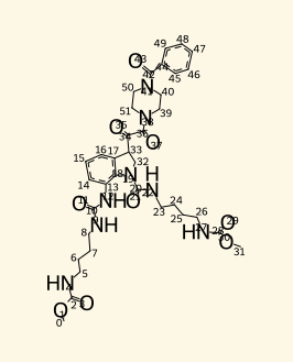 COC(=O)NCCCCNC(=O)Nc1cccc2c1N(C(=O)NCCCCNC(=O)OC)CC2C(=O)C(=O)N1CCN(C(=O)c2ccccc2)CC1